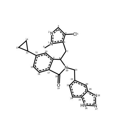 Cn1ncc(Cl)c1CC1c2cc(C3CC3)ccc2C(=O)N1Cc1ccc2[nH]nnc2c1